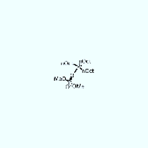 CCCCCCCC[P+](C)(CCCCCCCC)CCCCCCCC.COP(=O)([O-])OC